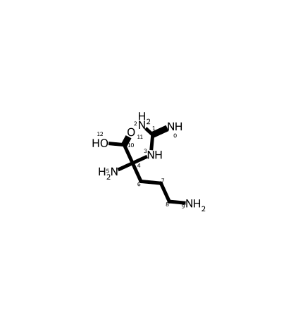 N=C(N)NC(N)(CCCN)C(=O)O